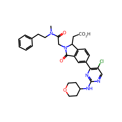 CN(CCc1ccccc1)C(=O)CN1C(=O)c2cc(-c3nc(NC4CCOCC4)ncc3Cl)ccc2C1CC(=O)O